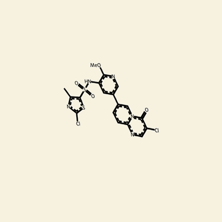 COc1ncc(-c2ccc3ncc(Cl)c(=O)n3c2)cc1NS(=O)(=O)c1sc(Cl)nc1C